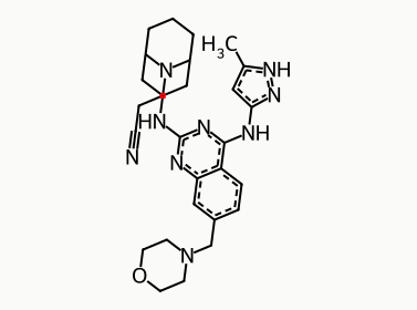 Cc1cc(Nc2nc(NC3CC4CCCC(C3)N4CCC#N)nc3cc(CN4CCOCC4)ccc23)n[nH]1